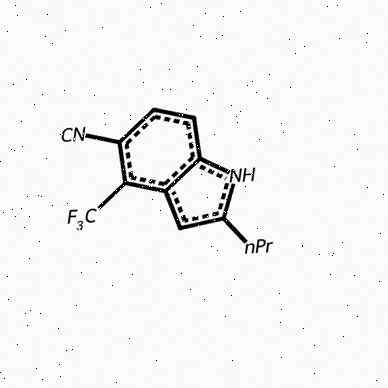 [C-]#[N+]c1ccc2[nH]c(CCC)cc2c1C(F)(F)F